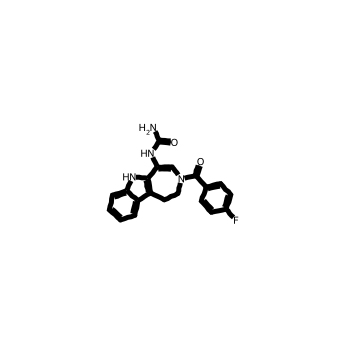 NC(=O)NC1=CN(C(=O)c2ccc(F)cc2)CCc2c1[nH]c1ccccc21